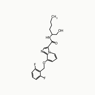 CCCCC(CO)NC(=O)c1cnc2c(OCc3c(F)cccc3F)cccn12